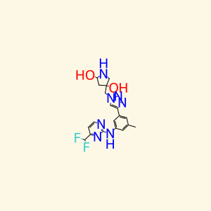 Cc1cc(Nc2nccc(C(F)F)n2)cc(-c2cn(CC3(O)CNC(O)C3)nn2)c1